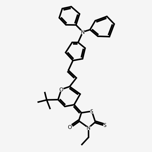 CCN1C(=O)/C(=C2C=C(/C=C/c3ccc(N(c4ccccc4)c4ccccc4)cc3)OC(C(C)(C)C)=C/2)SC1=S